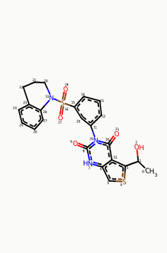 CC(O)c1scc2[nH]c(=O)n(-c3cccc(S(=O)(=O)N4CCCc5ccccc54)c3)c(=O)c12